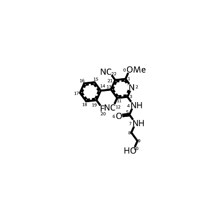 COc1nc(NC(=O)NCCO)c(C#N)c(-c2ccccc2F)c1C#N